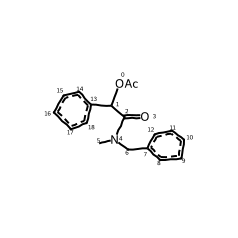 CC(=O)OC(C(=O)N(C)Cc1ccccc1)c1ccccc1